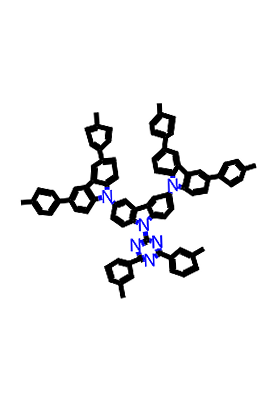 Cc1ccc(-c2ccc3c(c2)c2cc(-c4ccc(C)cc4)ccc2n3-c2ccc3c(c2)c2cc(-n4c5ccc(-c6ccc(C)cc6)cc5c5cc(-c6ccc(C)cc6)ccc54)ccc2n3-c2nc(-c3cccc(C)c3)nc(-c3cccc(C)c3)n2)cc1